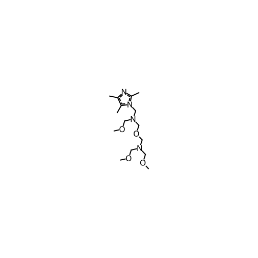 COCN(COC)COCN(COC)Cn1c(C)nc(C)c1C